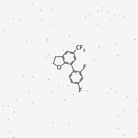 Fc1ccc(-c2cc(C(F)(F)F)cc3c2O[CH]C3)c(F)c1